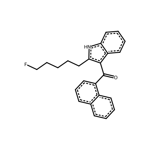 O=C(c1cccc2ccccc12)c1c(CCCCCF)[nH]c2ccccc12